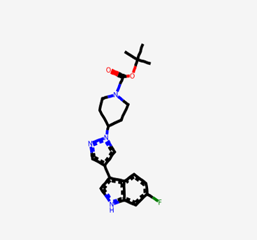 CC(C)(C)OC(=O)N1CCC(n2cc(-c3c[nH]c4cc(F)ccc34)cn2)CC1